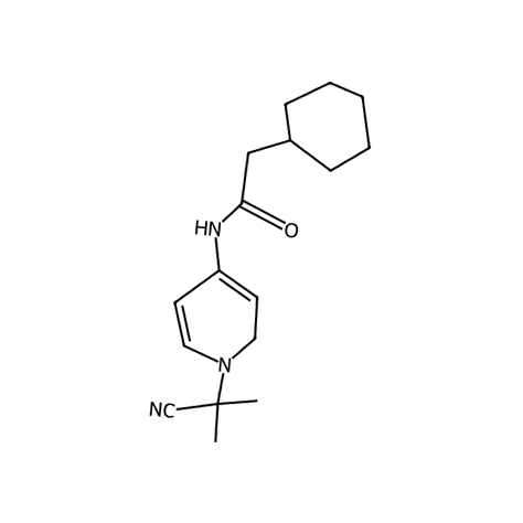 CC(C)(C#N)N1C=CC(NC(=O)CC2CCCCC2)=CC1